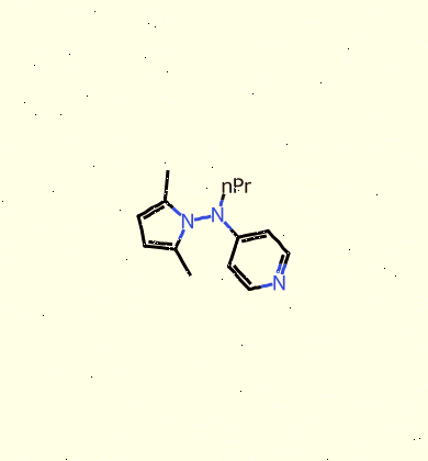 CCCN(c1ccncc1)n1c(C)ccc1C